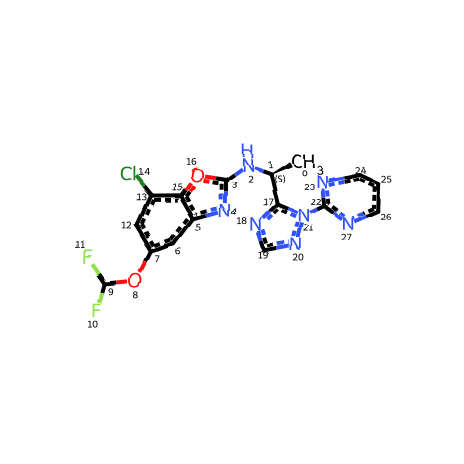 C[C@H](Nc1nc2cc(OC(F)F)cc(Cl)c2o1)c1ncnn1-c1ncccn1